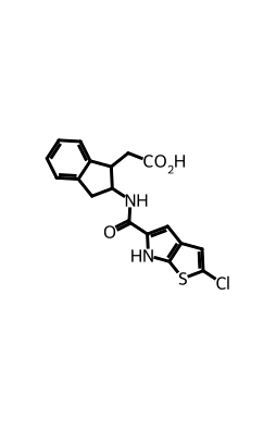 O=C(O)CC1c2ccccc2CC1NC(=O)c1cc2cc(Cl)sc2[nH]1